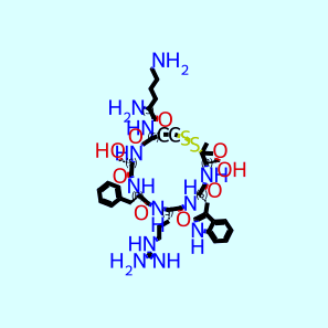 CC1(C)SSCC[C@H](NC(=O)[C@@H](N)CCCCN)C(=O)N[C@@H](CO)C(=O)N[C@H](Cc2ccccc2)C(=O)N[C@@H](CCCNC(=N)N)C(=O)N[C@@H](Cc2c[nH]c3ccccc23)C(=O)N[C@@H]1C(=O)O